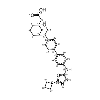 O=C(O)CC12CCCC(C1)C(c1ccc(-c3ccc(Nc4nnc(C5CCC5)o4)cc3)cc1)CO2